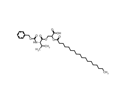 CCCCCCCCCCCCCCCCCC(=O)OC(COC(=O)[C@@H](NC(=O)OCc1ccccc1)C(C)C)C(=O)O